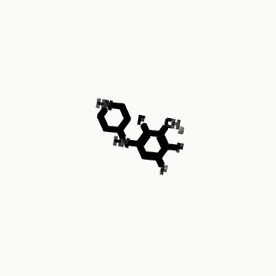 Cc1c(F)c(F)cc(NC2CCNCC2)c1F